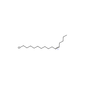 CCCC/C=C\CCCCCCCCCCl